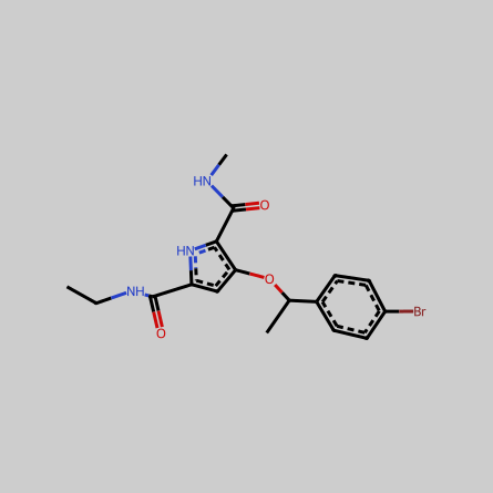 CCNC(=O)c1cc(OC(C)c2ccc(Br)cc2)c(C(=O)NC)[nH]1